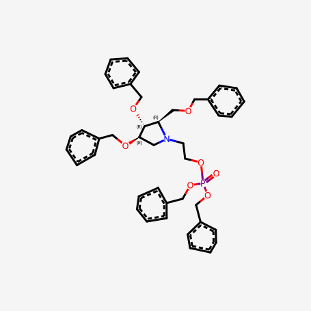 O=P(OCCN1C[C@@H](OCc2ccccc2)[C@H](OCc2ccccc2)[C@H]1COCc1ccccc1)(OCc1ccccc1)OCc1ccccc1